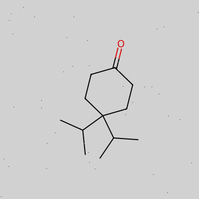 CC(C)C1(C(C)C)CCC(=O)CC1